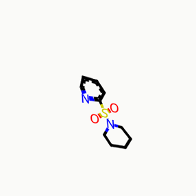 O=S(=O)(c1ccccn1)N1CCCCC1